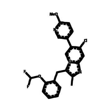 COc1ccc(-c2cn3c(Cc4ccccc4OC(F)F)c(C)nc3cc2Cl)cn1